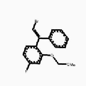 COCOc1cc(F)ccc1C(=CBr)c1ccccc1